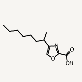 CCCCCCC(C)c1coc(C(=O)O)n1